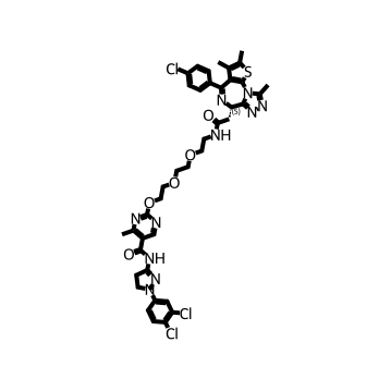 Cc1nc(OCCOCCOCCNC(=O)C[C@@H]2N=C(c3ccc(Cl)cc3)c3c(sc(C)c3C)-n3c(C)nnc32)ncc1C(=O)NC1=NN(c2ccc(Cl)c(Cl)c2)CC1